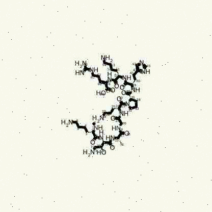 CN[C@@H](CCCCN)C(=O)N[C@H](C(=O)N[C@@H](C)C(=O)NCC(=O)N[C@H](CCCN)C(=O)N1CCC[C@H]1C(=O)N[C@@H](CCc1cnc[nH]1)C(=O)N[C@@H](CCCCN)C(=O)N/C(=C\CCNC(=N)N)C(=O)O)[C@@H](O)CN